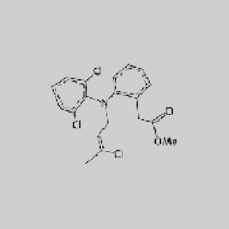 COC(=O)Cc1ccccc1N(C/C=C(/C)Cl)c1c(Cl)cccc1Cl